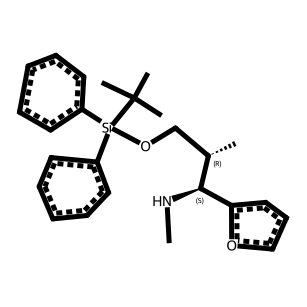 CN[C@H](c1ccco1)[C@@H](C)CO[Si](c1ccccc1)(c1ccccc1)C(C)(C)C